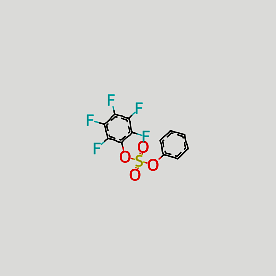 O=S(=O)(Oc1ccccc1)Oc1c(F)c(F)c(F)c(F)c1F